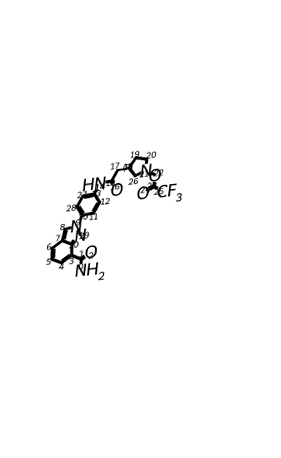 NC(=O)c1cccc2cn(-c3ccc(NC(=O)C[C@H]4CCN(OC(=O)C(F)(F)F)C4)cc3)nc12